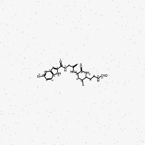 C=C(CNC(=O)c1cc2nc(CC)ccc2[nH]1)NC(CC(C)CCCNC=O)C(N)=O